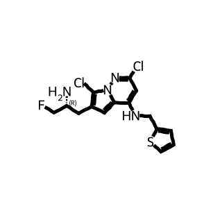 N[C@@H](CF)Cc1cc2c(NCc3cccs3)cc(Cl)nn2c1Cl